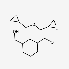 C(OCC1CO1)C1CO1.OCC1CCCC(CO)C1